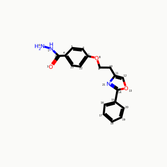 NNC(=O)c1ccc(OCCc2coc(-c3ccccc3)n2)cc1